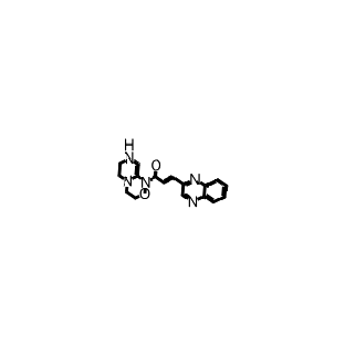 O=C(/C=C/c1cnc2ccccc2n1)N1OCCN2CCNC=C21